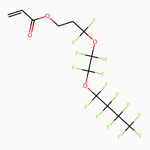 C=CC(=O)OCCC(F)(F)OC(F)(F)C(F)(F)OC(F)(F)C(F)(F)C(F)(F)C(F)(F)F